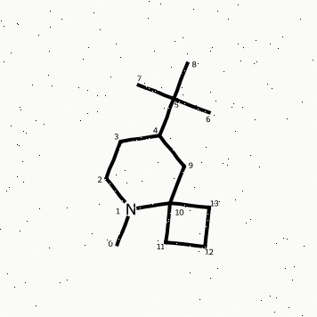 CN1CCC(C(C)(C)C)CC12CCC2